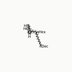 CCCCCCCCCCCCCCCCCCCCC(CCCCCC)CCCC1CNCCN1CC(O)CO